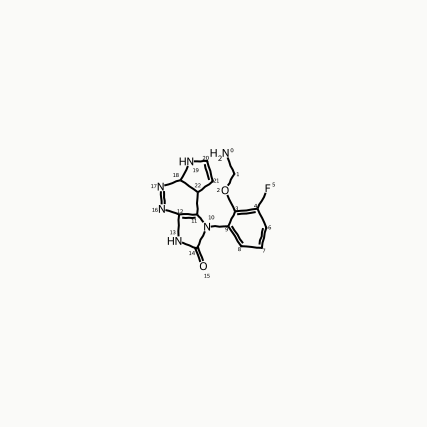 NCOc1c(F)cccc1-n1c2c([nH]c1=O)N=NC1NC=CC21